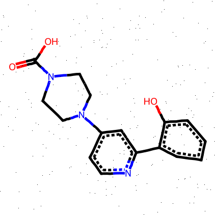 O=C(O)N1CCN(c2ccnc(-c3ccccc3O)c2)CC1